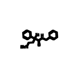 CCC(CCNC)(C(=O)NCc1ccccc1)c1ccccc1